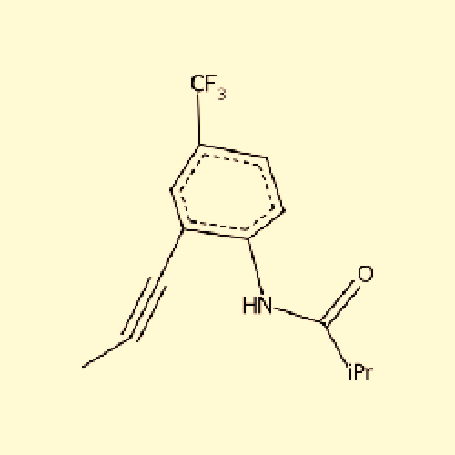 CC#Cc1cc(C(F)(F)F)ccc1NC(=O)C(C)C